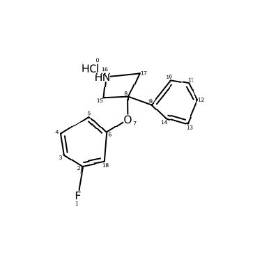 Cl.Fc1cccc(OC2(c3ccccc3)CNC2)c1